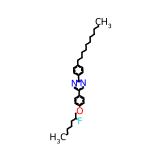 CCCCCCCCCCCc1ccc(-c2ncc(-c3ccc(OCC(F)CCCCC)cc3)cn2)cc1